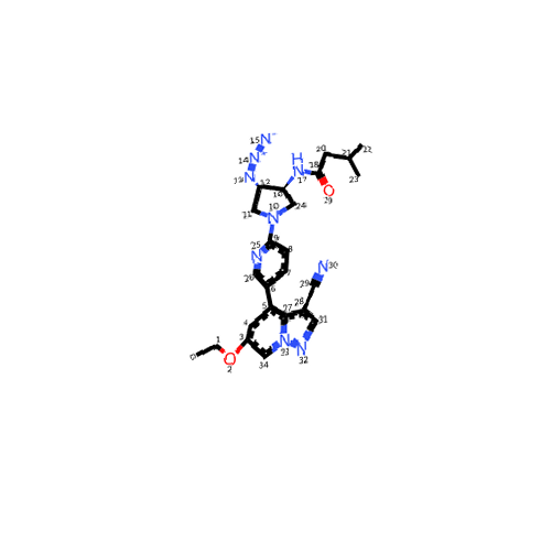 CCOc1cc(-c2ccc(N3C[C@H](N=[N+]=[N-])[C@@H](NC(=O)CC(C)C)C3)nc2)c2c(C#N)cnn2c1